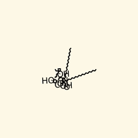 CCCCCCCCCCCCCCCCCCN(CCCCCCCCCCCCCCCCCC)C(CC=O)(CC/C=C\C[C@@H]1[C@@H](/C=C/C[C@H](O)C2(CC)CCC2)[C@H](O)C[C@H]1Cl)C(=O)O